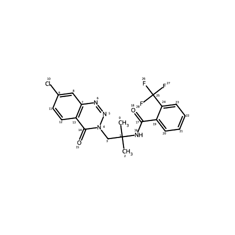 CC(C)(Cn1nnc2cc(Cl)ccc2c1=O)NC(=O)c1ccccc1C(F)(F)F